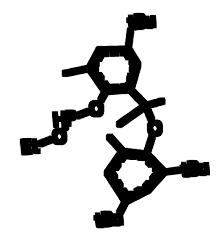 CCOPOc1c(C)cc(C(C)(C)C)cc1C(C)(C)Oc1c(C)cc(C(C)(C)C)cc1C(C)(C)C